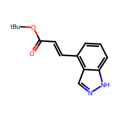 CC(C)(C)OC(=O)/C=C/c1cccc2[nH]ncc12